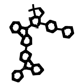 CC1(C)C=Cc2c(-c3ccc(-c4ccccc4)cc3)nc(-n3c4ccccc4c4cc(-c5ccc6c(c5)c5ccccc5n6-c5ccccc5)ccc43)nc21